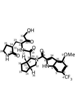 COc1cc(C(F)(F)F)cc2[nH]c(C(=O)N3C[C@@H]4CCC[C@@H]4[C@H]3C(=O)N[C@@H](C[C@@H]3CCNC3=O)C(=O)CO)cc12